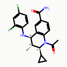 CC(=O)N1c2ccc(C(N)=O)cc2[C@H](Nc2ccc(F)cc2F)[C@@H](C)[C@@H]1C1CC1